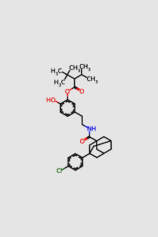 CC(C)C(C(=O)Oc1cc(CCNC(=O)C23CC4CC(C2)CC(c2ccc(Cl)cc2)(C4)C3)ccc1O)C(C)(C)C